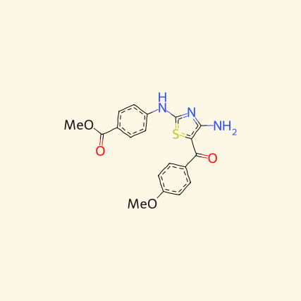 COC(=O)c1ccc(Nc2nc(N)c(C(=O)c3ccc(OC)cc3)s2)cc1